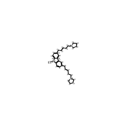 CCn1c2ccc(CCCCCN3CCCC3)cc2c2cc(CCCCCN3CCCC3)ccc21